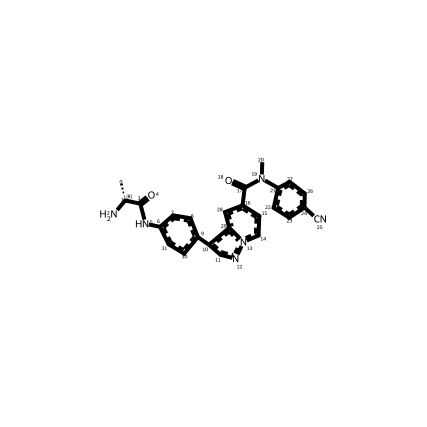 C[C@@H](N)C(=O)Nc1ccc(-c2cnn3ccc(C(=O)N(C)c4ccc(C#N)cc4)cc23)cc1